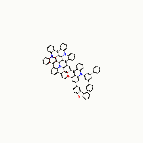 c1ccc(-c2cc(-c3ccccc3)cc(N3c4ccccc4B4c5cc6c(cc5Oc5cc(-c7ccc8oc9ccccc9c8c7)cc3c54)N(c3c(-c4ccccc4)cccc3-c3ccccc3)c3cc4c5c7c3B6c3ccccc3N7c3ccccc3B5c3ccccc3N4c3ccccc3)c2)cc1